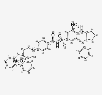 COC1(Cc2ccccc2-c2ccccc2)CCN(c2ccc(C(=O)NS(=O)(=O)c3ccc(NC4CCCC4Sc4ccccc4)c([N+](=O)[O-])c3)cc2)CC1